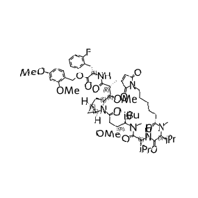 CC[C@H](C)C([C@@H](CC(=O)N1[C@H]2C[C@H]2C[C@H]1[C@H](OC)[C@@H](C)C(=O)N[C@@H](Cc1ccccc1F)C(=O)OCc1ccc(OC)cc1OC)OC)N(C)C(=O)[C@@H](NC(=O)[C@H](C(C)C)N(C)C(=O)CCCCCN1C(=O)C=CC1=O)C(C)C